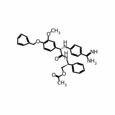 COc1cc([C@H](Nc2ccc(C(=N)N)cc2)C(=O)N[C@H](COC(C)=O)c2ccccc2)ccc1OCc1ccccc1